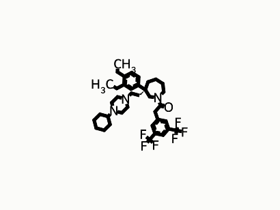 CCc1ccc([C@@]2(CCN3CCN(C4CCCCC4)CC3)CCCCN(C(=O)Cc3cc(C(F)(F)F)cc(C(F)(F)F)c3)C2)cc1CC